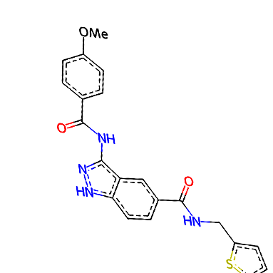 COc1ccc(C(=O)Nc2n[nH]c3ccc(C(=O)NCc4cccs4)cc23)cc1